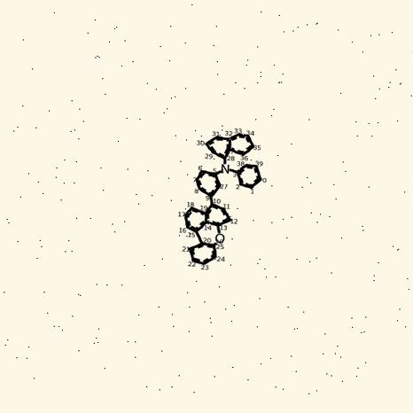 c1ccc(N(c2cccc(-c3ccc4c5c(cccc35)-c3ccccc3O4)c2)c2cccc3ccccc23)cc1